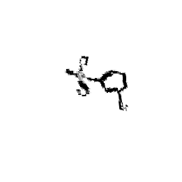 CP(=O)(Cl)c1cccc(Br)c1